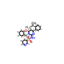 CC(C)c1ccccc1-c1cc(Oc2ccccc2F)nc(NS(=O)(=O)c2cccnc2)n1